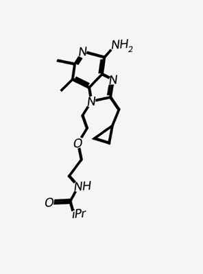 Cc1nc(N)c2nc(CC3CC3)n(CCOCCNC(=O)C(C)C)c2c1C